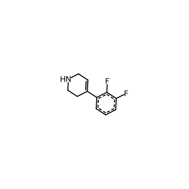 Fc1cccc(C2=CCNCC2)c1F